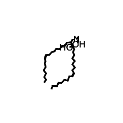 CCCCCCCC/C=C\CCCCCCCCC(CN(C)C)C(O)(O)CCCCCCCC/C=C\CCCCCCCC